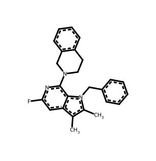 Cc1c(C)n(Cc2ccccc2)c2c(N3CCc4ccccc4C3)nc(F)cc12